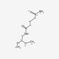 COC(CNC(=O)CCCC(N)=O)OC